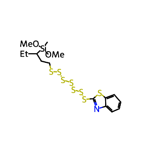 CCC(CCSSSSSSSc1nc2ccccc2s1)[Si](C)(OC)OC